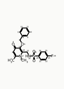 Cc1cc(=O)c(OCc2ccccc2)c(CNS(=O)(=O)c2ccc(F)cc2)n1C